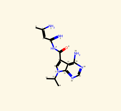 C/C(N)=C/C(=N)NC(=O)c1cn(C(C)C)c2ncnc(N)c12